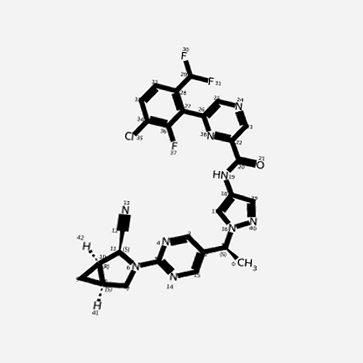 C[C@@H](c1cnc(N2C[C@H]3C[C@H]3[C@H]2C#N)nc1)n1cc(NC(=O)c2cncc(-c3c(C(F)F)ccc(Cl)c3F)n2)cn1